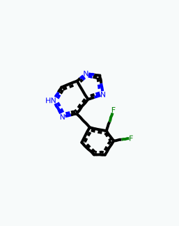 Fc1cccc(-c2n[nH]cc3ncnc2-3)c1F